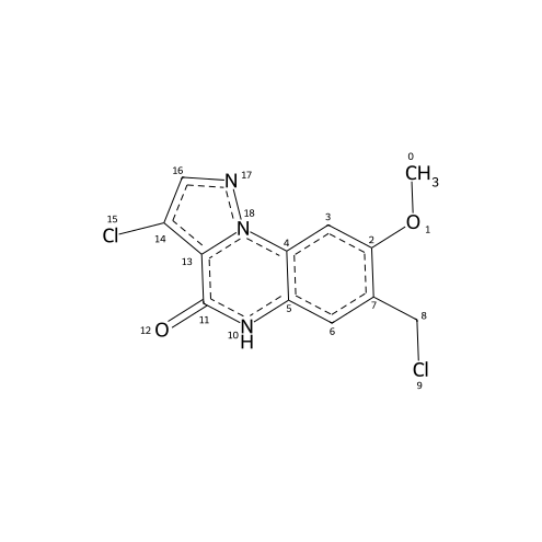 COc1cc2c(cc1CCl)[nH]c(=O)c1c(Cl)cnn12